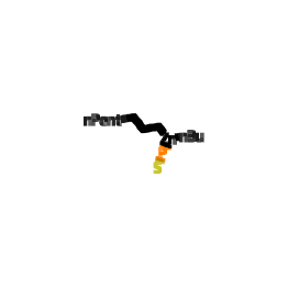 CCCCCCC[CH2][Zn]([CH2]CCC)#[P]=S